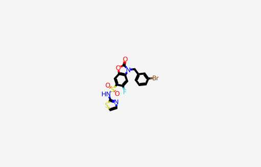 O=c1oc2cc(S(=O)(=O)Nc3nccs3)c(F)cc2n1Cc1cccc(Br)c1